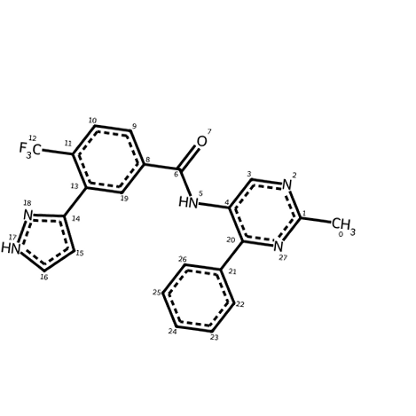 Cc1ncc(NC(=O)c2ccc(C(F)(F)F)c(-c3cc[nH]n3)c2)c(-c2ccccc2)n1